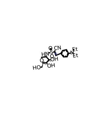 CCN(CC)c1ccc(/C=C(\C#N)S(=O)(=O)N[C@H]2CO[C@H](CO)[C@@H](O)[C@@H]2O)cc1